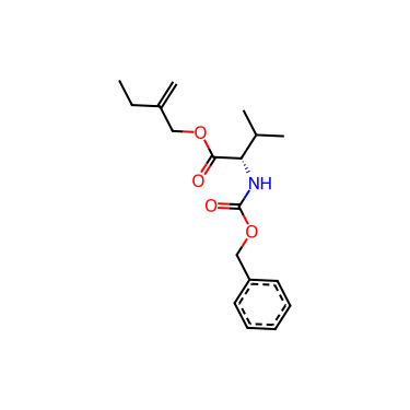 C=C(CC)COC(=O)[C@@H](NC(=O)OCc1ccccc1)C(C)C